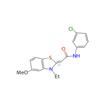 CCN1/C(=C/C(=O)Nc2cccc(Cl)c2)Sc2ccc(OC)cc21